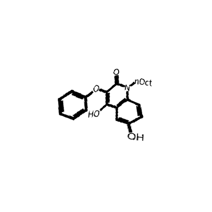 CCCCCCCCn1c(=O)c(Oc2ccccc2)c(O)c2cc(O)ccc21